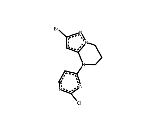 Clc1nccc(N2CCCn3nc(Br)cc32)n1